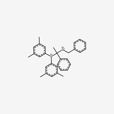 Cc1cc(C)cc([SiH](c2cc(C)cc(C)c2)C(C)([SiH2]Cc2ccccc2)c2ccccc2)c1